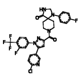 O=C(c1cc(-c2ccc(Cl)nc2)n(-c2ccc(C(F)(F)F)c(F)c2)n1)N1CCC2(CC1)C(=O)NCN2c1ccc(F)cc1